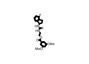 COc1cc(OC)cc(C(=O)OCCNC(=S)NC2CCc3c(F)cccc32)c1